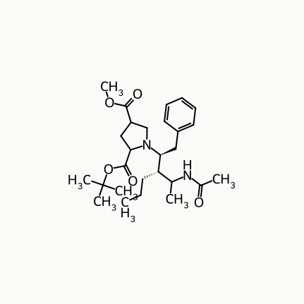 CCC[C@@H](C(C)NC(C)=O)[C@H](Cc1ccccc1)N1CC(C(=O)OC)CC1C(=O)OC(C)(C)C